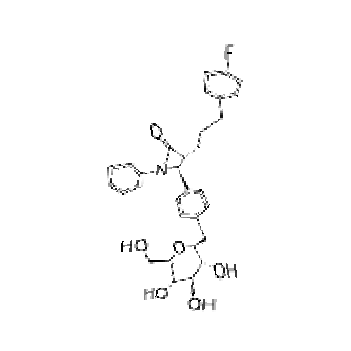 O=C1[C@H](CCCc2ccc(F)cc2)[C@@H](c2ccc(C[C@@H]3O[C@H](CO)[C@@H](O)[C@H](O)[C@H]3O)cc2)N1c1ccccc1